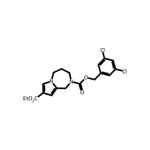 CCOC(=O)c1cc2n(c1)CCCN(C(=O)OCc1cc(Cl)cc(Cl)c1)C2